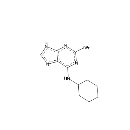 CCCc1nc(NC2CCCCC2)c2nc[nH]c2n1